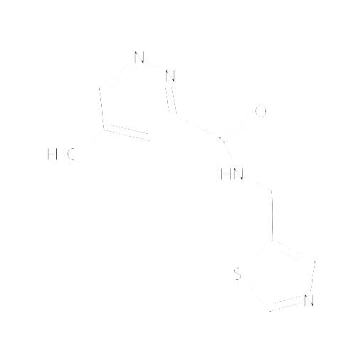 Cc1cnnc(C(=O)NCc2cncs2)c1